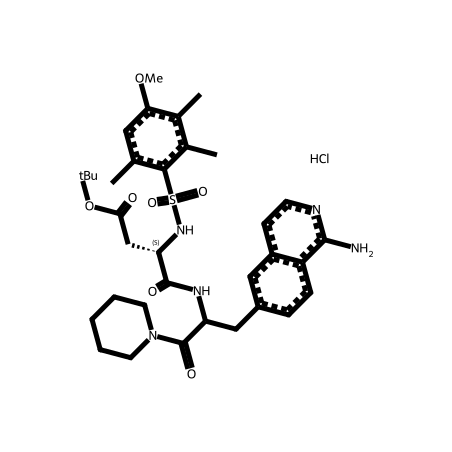 COc1cc(C)c(S(=O)(=O)N[C@@H](CC(=O)OC(C)(C)C)C(=O)NC(Cc2ccc3c(N)nccc3c2)C(=O)N2CCCCC2)c(C)c1C.Cl